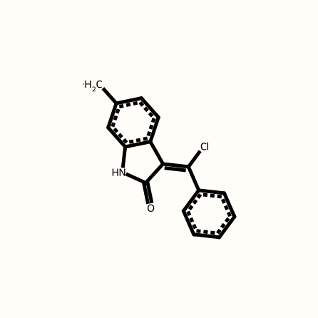 [CH2]c1ccc2c(c1)NC(=O)C2=C(Cl)c1ccccc1